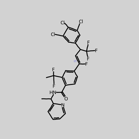 CC(NC(=O)c1ccc(/C(F)=C/C(c2cc(Cl)c(Cl)c(Cl)c2)C(F)(F)F)cc1C(C)(F)F)c1ccccn1